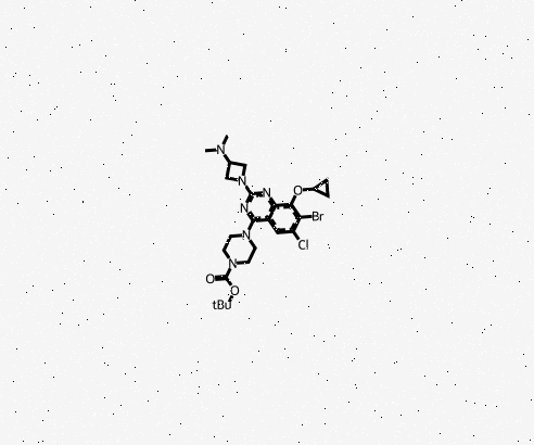 CN(C)C1CN(c2nc(N3CCN(C(=O)OC(C)(C)C)CC3)c3cc(Cl)c(Br)c(OC4CC4)c3n2)C1